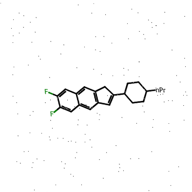 CCCC1CCC(C2=Cc3cc4cc(F)c(F)cc4cc3C2)CC1